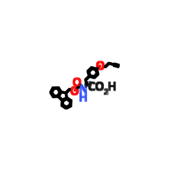 C#CCCOc1ccc(C[C@H](NC(=O)OCC2c3ccccc3-c3ccccc32)C(=O)O)cc1